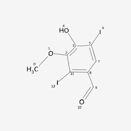 COc1c(O)c(I)cc(C=O)c1I